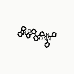 c1ccc(-c2nc(-c3ccccc3)nc(-c3cccc4c3oc3cccc(-c5cccc6oc7c(-n8c9ccccc9c9ccccc98)cccc7c56)c34)n2)cc1